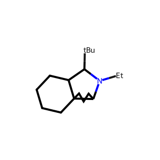 CCN1C(C(C)(C)C)C2CCCCC23CCCC13